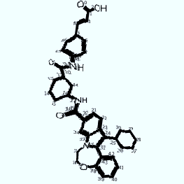 O=C(O)C=Cc1ccc(NC(=O)C2CCCC(NC(=O)c3ccc4c(C5CCCCC5)c5n(c4c3)CCOc3ccccc3-5)C2)cc1